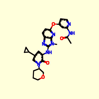 CC(=O)Nc1cc(Oc2ccc3nc(Nc4cc(C5CC5)cn([C@@H]5CCCOC5)c4=O)n(C)c3n2)ccn1